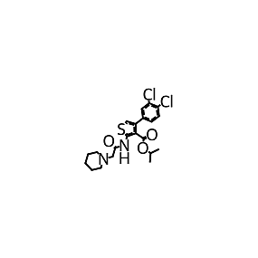 CC(C)OC(=O)c1c(-c2ccc(Cl)c(Cl)c2)csc1NC(=O)CN1CCCCC1